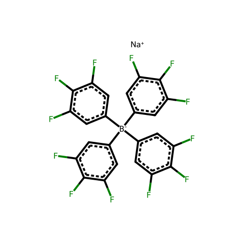 Fc1cc([B-](c2cc(F)c(F)c(F)c2)(c2cc(F)c(F)c(F)c2)c2cc(F)c(F)c(F)c2)cc(F)c1F.[Na+]